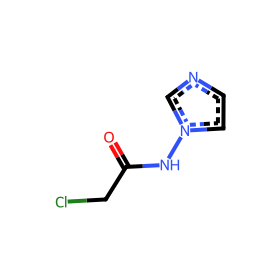 O=C(CCl)Nn1ccnc1